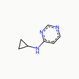 c1cc(NC2CC2)ncn1